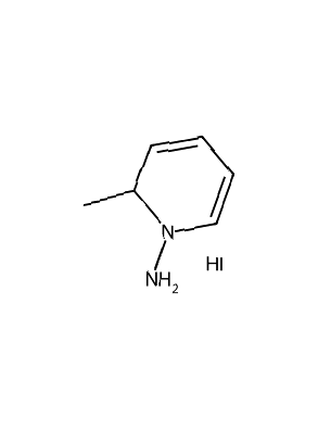 CC1C=CC=CN1N.I